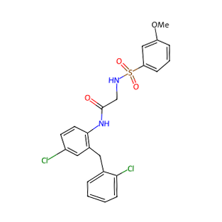 COc1cccc(S(=O)(=O)NCC(=O)Nc2ccc(Cl)cc2Cc2ccccc2Cl)c1